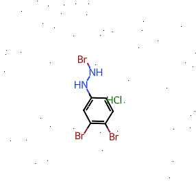 BrNNc1ccc(Br)c(Br)c1.Cl